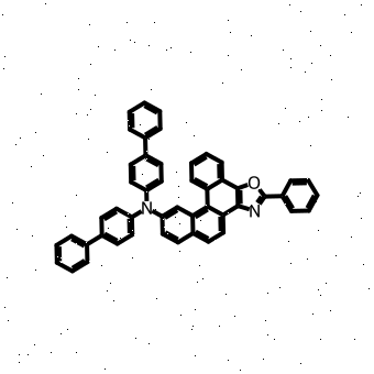 c1ccc(-c2ccc(N(c3ccc(-c4ccccc4)cc3)c3ccc4ccc5c6nc(-c7ccccc7)oc6c6ccccc6c5c4c3)cc2)cc1